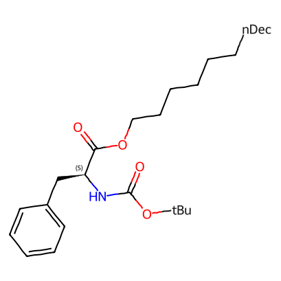 CCCCCCCCCCCCCCCCOC(=O)[C@H](Cc1ccccc1)NC(=O)OC(C)(C)C